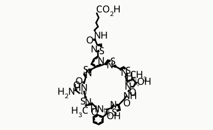 Cc1sc2nc1C(=O)N[C@@H]([C@H](O)c1ccccc1)c1nc(cs1)C(=O)NC(=O)N1C[C@H](O)[C@H](C)[C@H]1c1nc(cs1)-c1nc(cs1)-c1nc(-c3nc(C(=O)NCCCCCC(=O)O)cs3)ccc1-c1nc(cs1)C(=O)N[C@H]2CC(N)=O